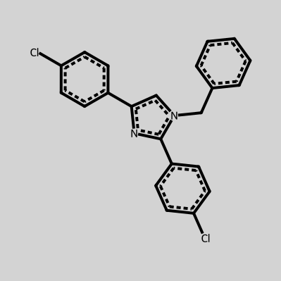 Clc1ccc(-c2cn(Cc3ccccc3)c(-c3ccc(Cl)cc3)n2)cc1